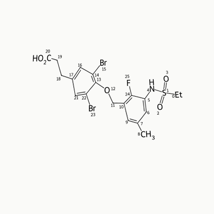 CCS(=O)(=O)Nc1cc(C)cc(COc2c(Br)cc(CCC(=O)O)cc2Br)c1F